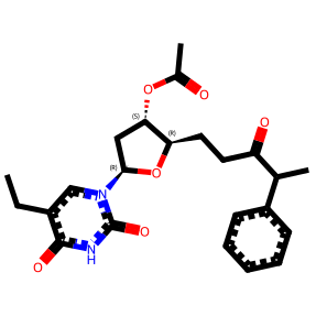 CCc1cn([C@H]2C[C@H](OC(C)=O)[C@@H](CCC(=O)C(C)c3ccccc3)O2)c(=O)[nH]c1=O